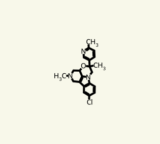 Cc1ccc(C2(C)Cn3c4c(c5cc(Cl)ccc53)CN(C)CC4O2)cn1